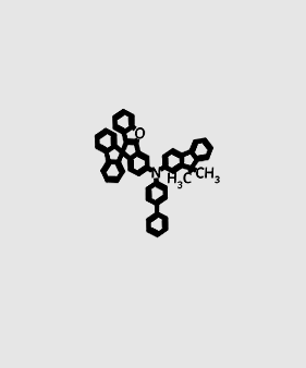 CC1(C)c2ccccc2-c2ccc(N(c3ccc(-c4ccccc4)cc3)c3ccc4c(c3)-c3oc5ccccc5c3C43c4ccccc4-c4ccccc43)cc21